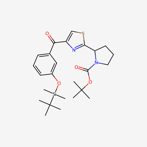 CC(C)(C)OC(=O)N1CCCC1c1nc(C(=O)c2cccc(O[Si](C)(C)C(C)(C)C)c2)cs1